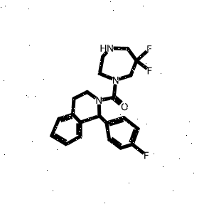 O=C(N1CCNCC(F)(F)C1)N1CCc2ccccc2C1c1ccc(F)cc1